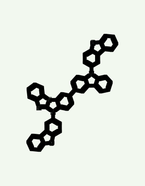 c1ccc2c(c1)nc1n(-c3ccc4oc5ccccc5c4c3)c3ccc(-c4ccc5c(c4)c4ccccc4n5-c4ccc5oc6ccccc6c5c4)cc3n21